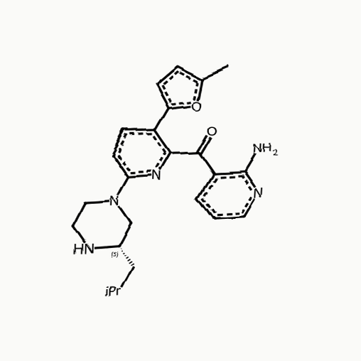 Cc1ccc(-c2ccc(N3CCN[C@@H](CC(C)C)C3)nc2C(=O)c2cccnc2N)o1